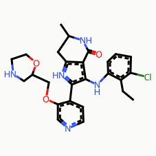 CCc1c(Cl)cccc1Nc1c(-c2ccncc2OCC2CNCCO2)[nH]c2c1C(=O)NC(C)C2